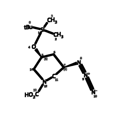 CC(C)(C)[Si](C)(C)O[C@H]1C[C@@H](N=[N+]=[N-])CN(C(=O)O)C1